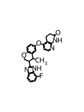 CC1c2cc(Oc3ccnc4c3CCC(=O)N4)ccc2OCC1c1nc2cccc(F)c2[nH]1